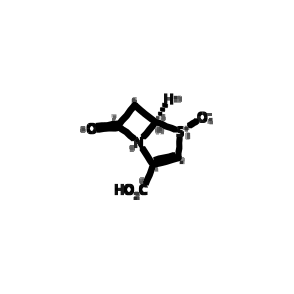 O=C(O)C1=C[S+]([O-])[C@@H]2CC(=O)N12